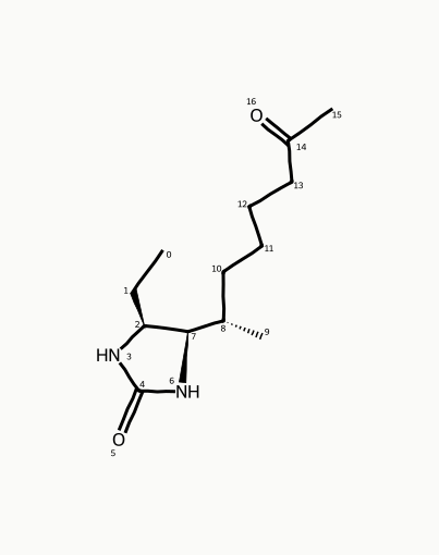 CC[C@@H]1NC(=O)N[C@@H]1[C@@H](C)CCCCC(C)=O